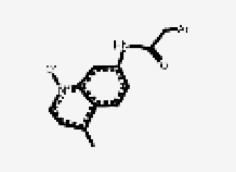 CC(=O)CC(=O)Nc1ccc2c(C)cc[n+]([O-])c2c1